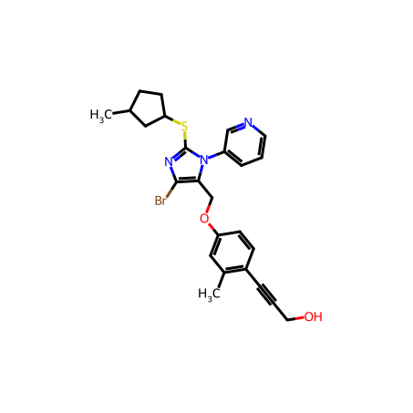 Cc1cc(OCc2c(Br)nc(SC3CCC(C)C3)n2-c2cccnc2)ccc1C#CCO